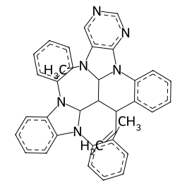 C=CC1c2ccccc2N2c3ncncc3N(C)C2C1C1N(c2ccccc2)c2ccccc2N1c1ccccc1C